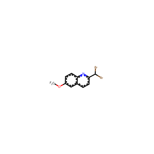 FC(F)(F)Oc1ccc2nc(C(Br)Br)ccc2c1